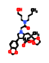 CCCCN(CCCO)C(=O)CN1C[C@H](c2ccc3c(c2)OCO3)[C@@H](C(=O)O)[C@@H]1CC(C)(C)C1OCCO1